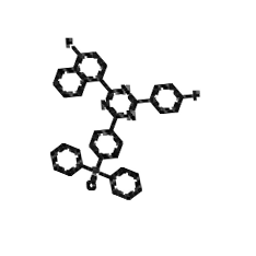 O=P(c1ccccc1)(c1ccccc1)c1ccc(-c2nc(-c3ccc(F)cc3)nc(-c3ccc(F)c4ccccc34)n2)cc1